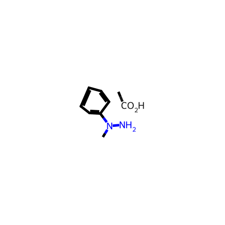 CC(=O)O.CN(N)c1ccccc1